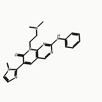 CN(C)CCn1c(=O)c(-c2nccn2C)cc2cnc(Nc3ccccc3)nc21